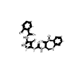 CCN1C(=O)[C@H](NC(=O)Oc2n[nH]c(NC(=O)c3ccccc3Cl)c2Br)COc2ccccc21